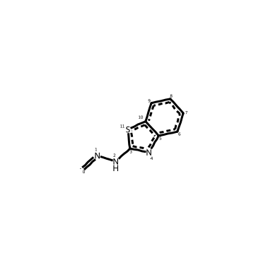 [CH]=NNc1nc2ccccc2s1